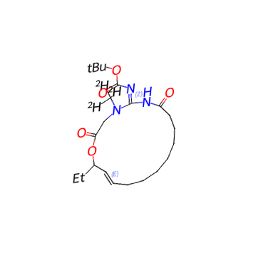 [2H]C([2H])([2H])N1CC(=O)OC(CC)/C=C/CCCCCCCC(=O)N/C1=N/C(=O)OC(C)(C)C